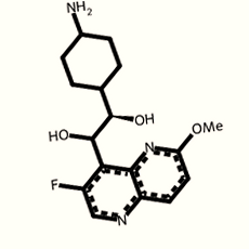 COc1ccc2ncc(F)c(C(O)[C@H](O)C3CCC(N)CC3)c2n1